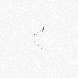 Oc1ccc2c(c1)CCN(Cc1ccc(-c3ccc(C(F)(F)F)cc3)s1)CC2